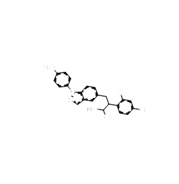 Oc1ccc(-n2ncc3cc(CC(c4ccc(Cl)cc4Cl)C(O)C(F)(F)F)ccc32)cc1